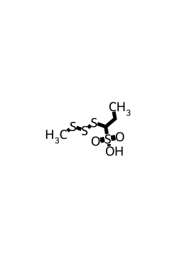 CCC(SSSC)S(=O)(=O)O